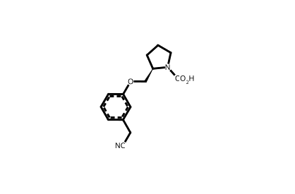 N#CCc1cccc(OC[C@H]2CCCN2C(=O)O)c1